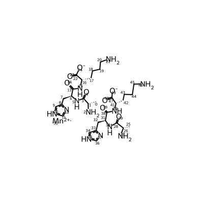 C[C@H](N)C(=O)N[C@@H](Cc1c[nH]cn1)C(=O)N[C@@H](CCCCN)C(=O)[O-].C[C@H](N)C(=O)N[C@@H](Cc1c[nH]cn1)C(=O)N[C@@H](CCCCN)C(=O)[O-].[Mn+2]